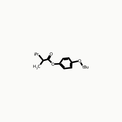 CC(C)C(C)C(=O)Oc1ccc(OC(C)(C)C)cc1